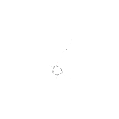 CCCCCCOc1cc(C)c(Br)cc1C